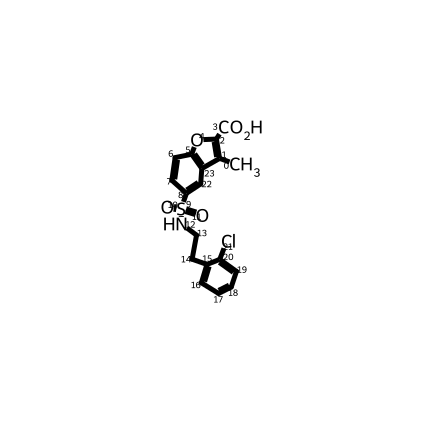 Cc1c(C(=O)O)oc2ccc(S(=O)(=O)NCCc3ccccc3Cl)cc12